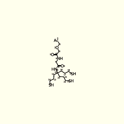 CC(=O)COCC(=O)NCC(=O)NC(CCCS)(CCCS)CCCS